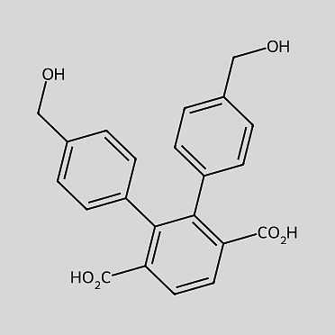 O=C(O)c1ccc(C(=O)O)c(-c2ccc(CO)cc2)c1-c1ccc(CO)cc1